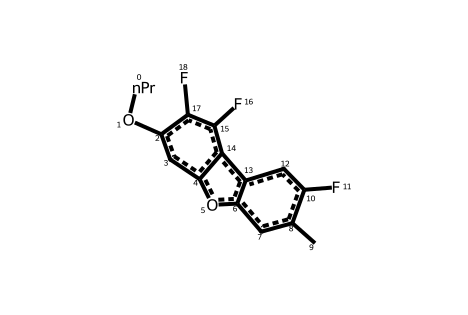 CCCOc1cc2oc3cc(C)c(F)cc3c2c(F)c1F